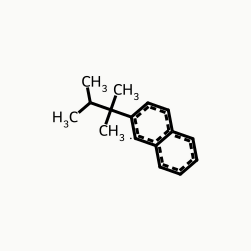 CC(C)C(C)(C)c1[c]c2ccccc2cc1